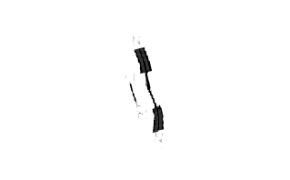 CCC.N#CC#N